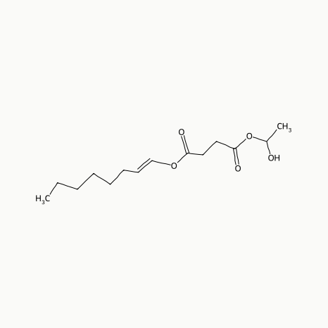 CCCCCCC=COC(=O)CCC(=O)OC(C)O